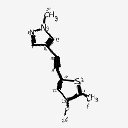 Cc1sc(C#Cc2cnn(C)c2)cc1F